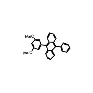 COc1cc(OC)cc(-c2c3ccccc3c(-c3ccccc3)c3ccccc23)c1